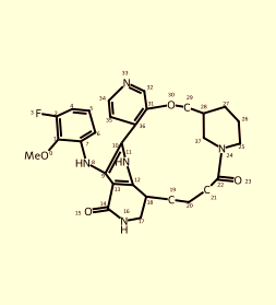 COc1c(F)cccc1Nc1c2[nH]c3c1C(=O)NCC3CCCC(=O)N1CCCC(COc3cnccc3-2)C1